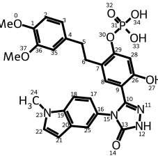 COc1ccc(CCc2cc(-c3n[nH]c(=O)n3-c3ccc4c(ccn4C)c3)c(O)cc2OP(=O)(O)O)cc1OC